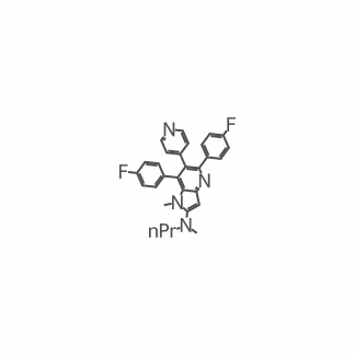 CCCN(C)c1cc2nc(-c3ccc(F)cc3)c(-c3ccncc3)c(-c3ccc(F)cc3)c2n1C